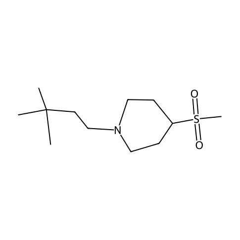 CC(C)(C)CCN1CCC(S(C)(=O)=O)CC1